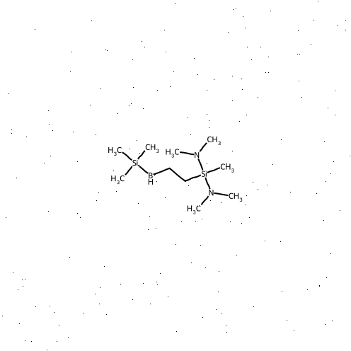 CN(C)[Si](C)(CCB[Si](C)(C)C)N(C)C